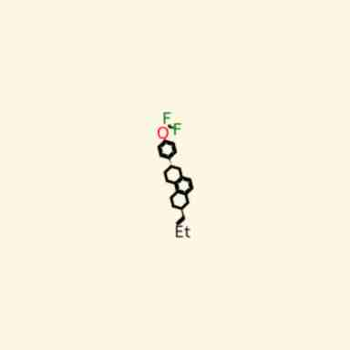 CCC=C[C@H]1CCc2c(ccc3c2CC[C@H](c2ccc(OC(F)F)cc2)C3)C1